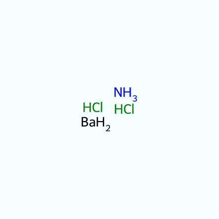 Cl.Cl.N.[BaH2]